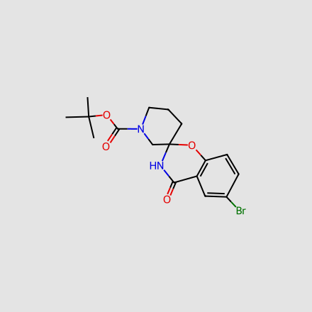 CC(C)(C)OC(=O)N1CCCC2(C1)NC(=O)c1cc(Br)ccc1O2